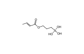 CC=CC(=O)OCCC[Si](O)(O)O